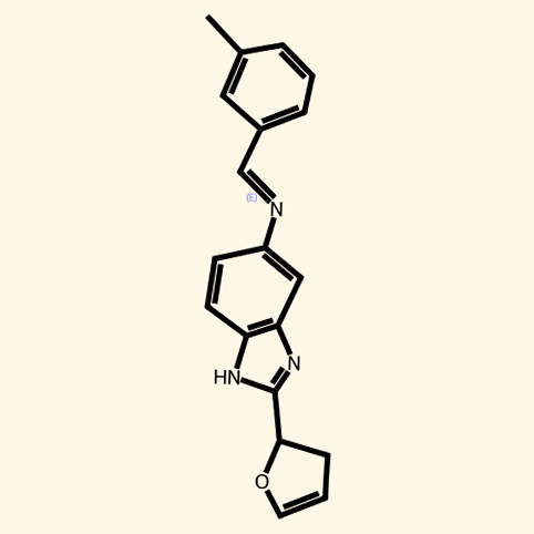 Cc1cccc(/C=N/c2ccc3[nH]c(C4CC=CO4)nc3c2)c1